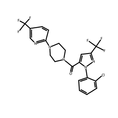 O=C(c1cc(C(F)(F)F)nn1-c1ccccc1Cl)N1CCN(c2ccc(C(F)(F)F)cn2)CC1